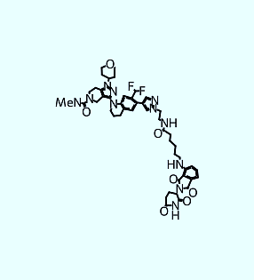 CNC(=O)N1CCc2c(c(N3CCCc4cc(-c5cnn(CCNC(=O)CCCCCNc6cccc7c6C(=O)N(C6CCC(=O)NC6=O)C7=O)c5)c(C(F)F)cc43)nn2C2CCOCC2)C1